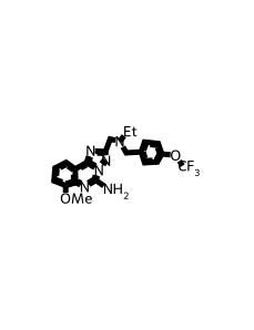 CCN(Cc1ccc(OC(F)(F)F)cc1)Cc1nc2c3cccc(OC)c3nc(N)n2n1